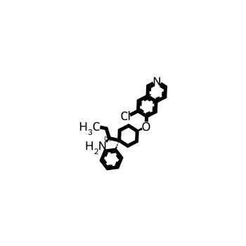 CC[C@H](N)[C@]1(c2ccccc2)CC[C@H](Oc2cc3ccncc3cc2Cl)CC1